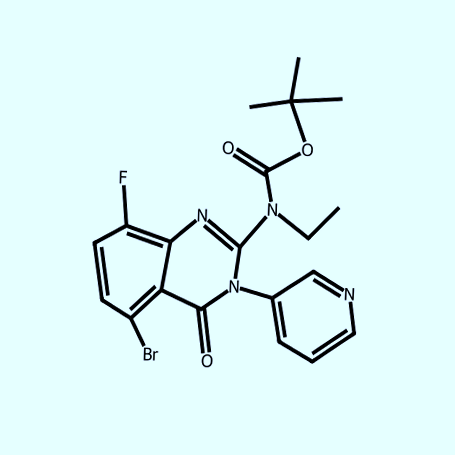 CCN(C(=O)OC(C)(C)C)c1nc2c(F)ccc(Br)c2c(=O)n1-c1cccnc1